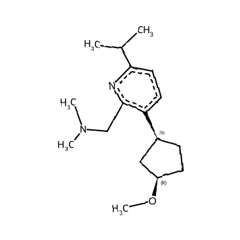 CO[C@@H]1CC[C@H](c2ccc(C(C)C)nc2CN(C)C)C1